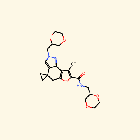 O=C(NC[C@@H]1COCCO1)c1oc2c(c1C(F)(F)F)-c1nn(CC3COCCO3)cc1C1(CC1)C2